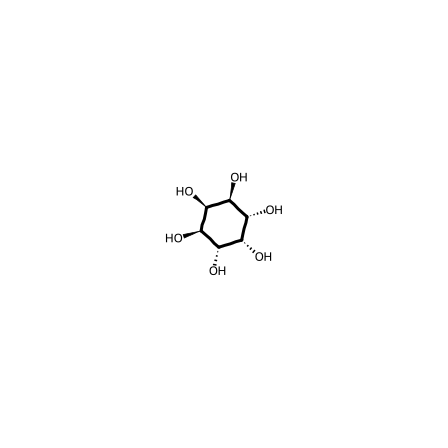 O[C@H]1[C@H](O)[C@H](O)[C@H](O)[C@@H](O)[C@H]1O